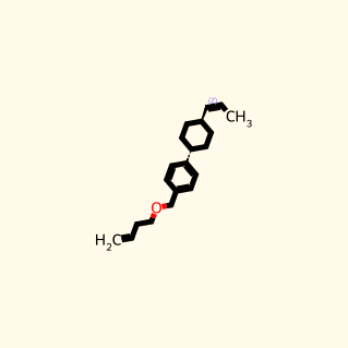 C=CCCOCc1ccc([C@H]2CC[C@H](/C=C\C)CC2)cc1